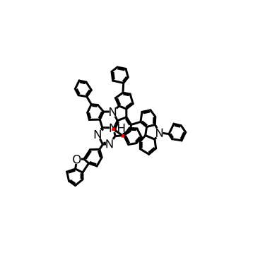 C1=CC2c3c(-c4cccc5c4c4ccc(-c6ccccc6)cc4n5-c4cc(-c5ccccc5)ccc4C4=NC(c5ccc6c(c5)oc5ccccc56)=NC(c5ccccc5)N4)cccc3N(c3ccccc3)C2C=C1